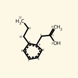 C=C(O)Cc1ccccc1CCC